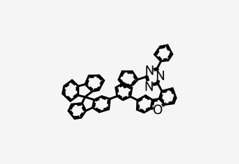 c1ccc(-c2nc(-c3ccccc3)nc(-c3cccc4oc5ccc(-c6cccc(-c7ccc8c(c7)C7(c9ccccc9-c9ccccc97)c7ccccc7-8)c6)cc5c34)n2)cc1